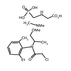 CCc1cccc(C)c1N(C(=O)CCl)C(C)COC.CNC.O=C(O)CNCP(=O)(O)O